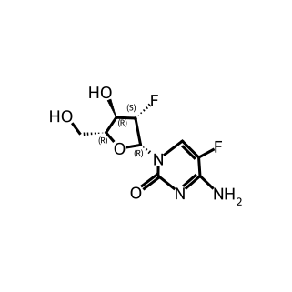 Nc1nc(=O)n([C@@H]2O[C@H](CO)[C@@H](O)[C@@H]2F)cc1F